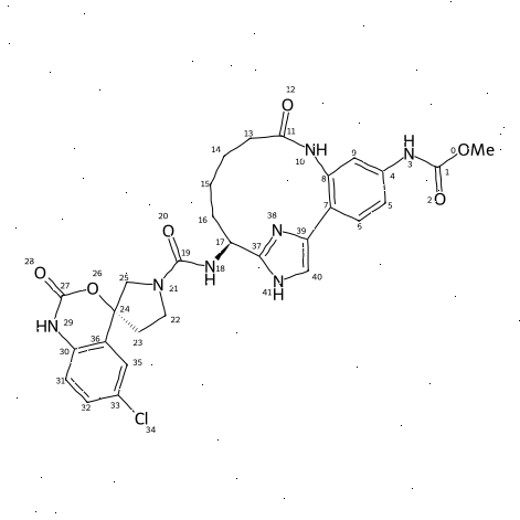 COC(=O)Nc1ccc2c(c1)NC(=O)CCCC[C@H](NC(=O)N1CC[C@@]3(C1)OC(=O)Nc1ccc(Cl)cc13)c1nc-2c[nH]1